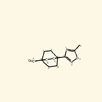 Cc1nc(C23CCC(C=O)(CC2)CC3)no1